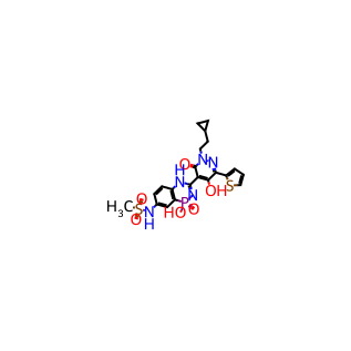 CS(=O)(=O)Nc1ccc2c(c1)P(=O)(O)N=C(c1c(O)c(-c3cccs3)nn(CCC3CC3)c1=O)N2